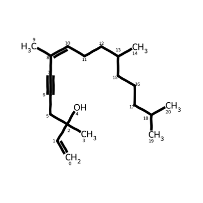 C=CC(C)(O)CC#CC(C)=CCCC(C)CCCC(C)C